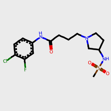 CS(=O)(=O)NC1CCN(CCCC(=O)Nc2ccc(Cl)c(F)c2)C1